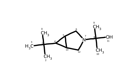 CC(C)(C)C1C2CN(C(C)(C)O)CC21